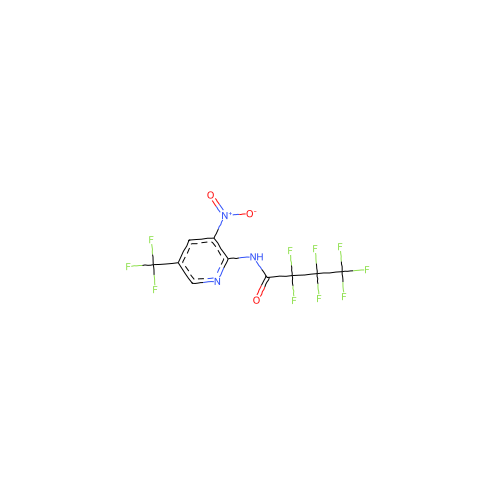 O=C(Nc1ncc(C(F)(F)F)cc1[N+](=O)[O-])C(F)(F)C(F)(F)C(F)(F)F